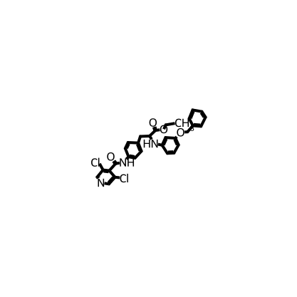 CCOC(=O)C(Cc1ccc(NC(=O)c2c(Cl)cncc2Cl)cc1)Nc1cccc(OCc2ccccc2)c1